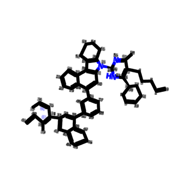 C=CCCCC1=C([C@@H]2CC=CCC2)N[C@@H](n2c3c(c4c5ccccc5c(-c5cccc(-c6cc(C(/C=C\C)=C(\C)C=C)cc7ccccc67)c5)cc42)CCCC3)N=C1C